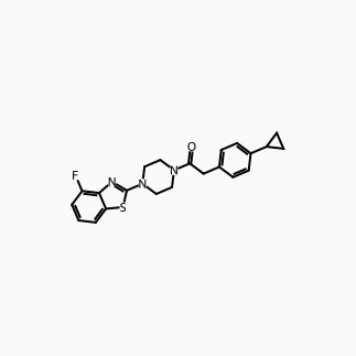 O=C(Cc1ccc(C2CC2)cc1)N1CCN(c2nc3c(F)cccc3s2)CC1